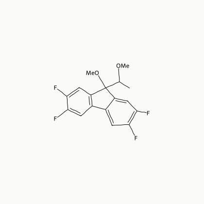 COC(C)C1(OC)c2cc(F)c(F)cc2-c2cc(F)c(F)cc21